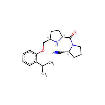 CC(C)c1ccccc1OC[C@H]1CC[C@@H](C(=O)N2CCC[C@H]2C#N)N1